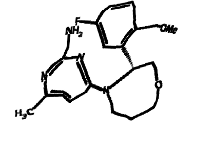 COc1ccc(F)cc1[C@@H]1COCCCN1c1cc(C)nc(N)n1